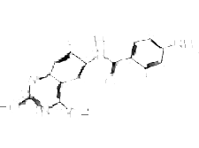 Nc1ccc(C(=O)Nc2ccc3nc(O)nc(O)c3c2)cc1